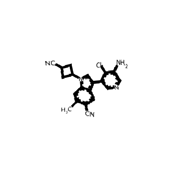 Cc1cc2c(cc1C#N)c(-c1cncc(N)c1Cl)cn2C1CC(C#N)C1